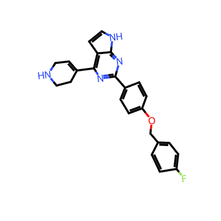 Fc1ccc(COc2ccc(-c3nc(C4=CCNCC4)c4cc[nH]c4n3)cc2)cc1